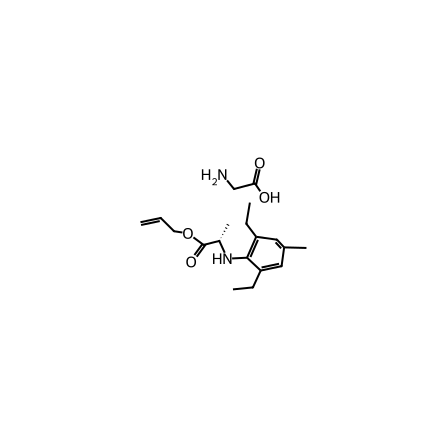 C=CCOC(=O)[C@H](C)Nc1c(CC)cc(C)cc1CC.NCC(=O)O